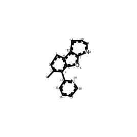 Cc1ccc2c(oc3ncccc32)c1-c1ccccn1